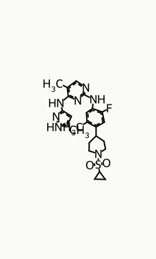 Cc1cc(Nc2nc(Nc3cc(C)c(C4CCN(S(=O)(=O)C5CC5)CC4)cc3F)ncc2C)n[nH]1